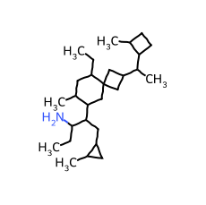 CCC(N)C(CC1CC1C)C1CC2(CC(C(C)C3CCC3C)C2)C(CC)CC1C